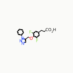 O=C(O)CCc1cc(F)c(OCc2cnnn2-c2ccccc2)c(F)c1